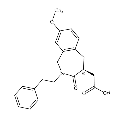 COc1ccc2c(c1)CN(CCc1ccccc1)C(=O)[C@H](CC(=O)O)C2